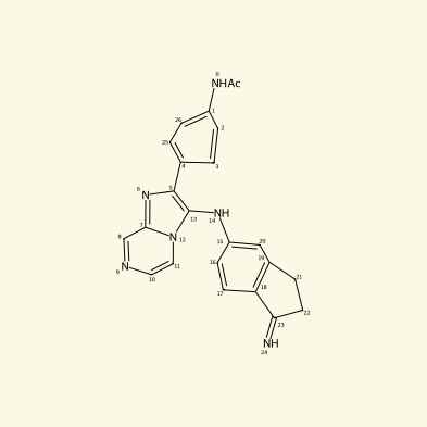 CC(=O)Nc1ccc(-c2nc3cnccn3c2Nc2ccc3c(c2)CCC3=N)cc1